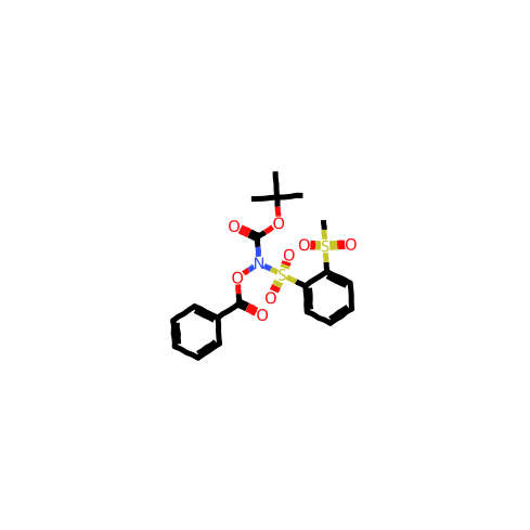 CC(C)(C)OC(=O)N(OC(=O)c1ccccc1)S(=O)(=O)c1ccccc1S(C)(=O)=O